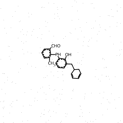 Cc1cccc(C=O)c1Pc1cccc(CC2C=CC=CC2)c1O